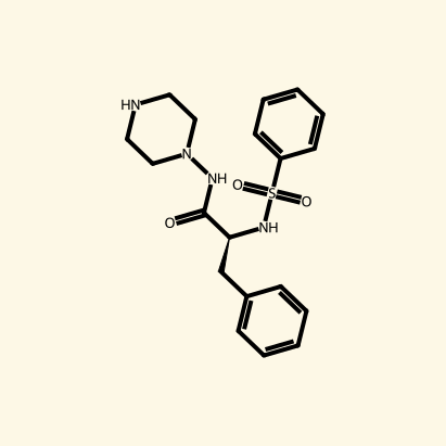 O=C(NN1CCNCC1)[C@H](Cc1ccccc1)NS(=O)(=O)c1ccccc1